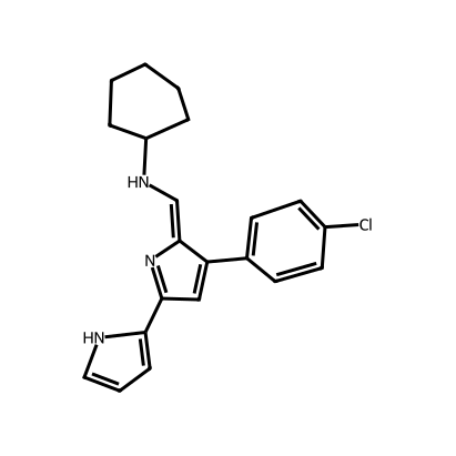 Clc1ccc(C2=CC(c3ccc[nH]3)=NC2=CNC2CCCCC2)cc1